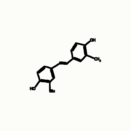 Cc1cc(/C=C/c2ccc(O)c(C(C)(C)C)c2)ccc1O